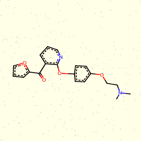 CN(C)CCOc1ccc(Oc2ncccc2C(=O)c2ccco2)cc1